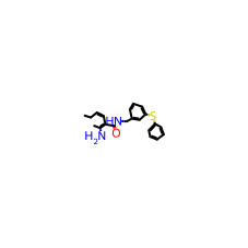 CC/C=C\C(C(=O)NCc1cccc(Sc2ccccc2)c1)=C(/C)N